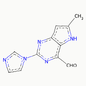 Cc1cc2nc(-n3ccnc3)nc(C=O)c2[nH]1